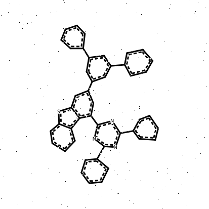 c1ccc(-c2cc(-c3ccccc3)cc(-c3cc(-c4nc(-c5ccccc5)nc(-c5ccccc5)n4)c4c(c3)sc3ccccc34)c2)cc1